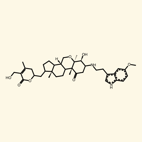 COc1ccc2[nH]cc(CCNC3CC(=O)[C@]4(C)C5CC[C@]6(C)C(CC7CC(C)=C(CO)C(=O)O7)CCC6[C@@H]5CO[C@@]4(C)[C@H]3O)c2c1